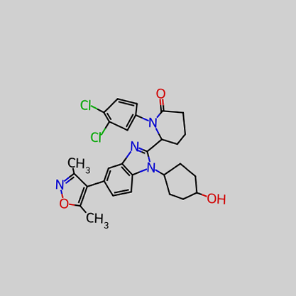 Cc1noc(C)c1-c1ccc2c(c1)nc(C1CCCC(=O)N1c1ccc(Cl)c(Cl)c1)n2C1CCC(O)CC1